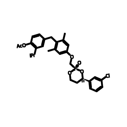 CC(=O)Oc1ccc(Cc2c(C)cc(OCP3(=O)OCC[C@@H](c4cccc(Cl)c4)O3)cc2C)cc1C(C)C